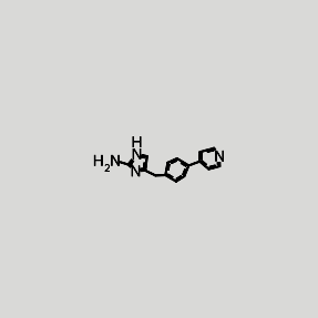 Nc1nc(Cc2ccc(-c3ccncc3)cc2)c[nH]1